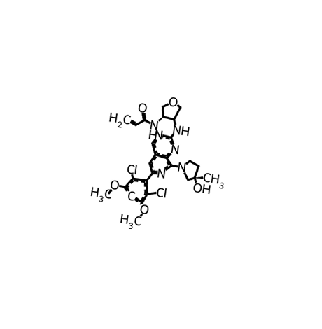 C=CC(=O)N[C@H]1COCC1Nc1ncc2cc(-c3c(Cl)c(OC)cc(OC)c3Cl)nc(N3CC[C@](C)(O)C3)c2n1